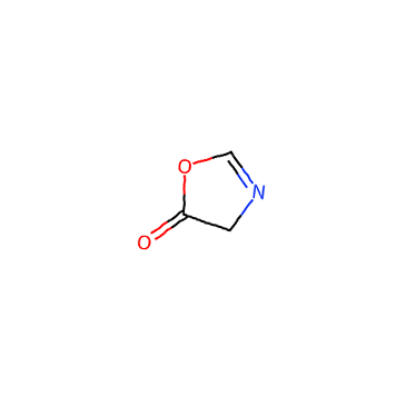 O=C1CN=CO1